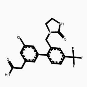 O=C(O)Cc1cc(Cl)cc(-c2ccc(C(F)(F)F)cc2CN2CCNC2=O)c1